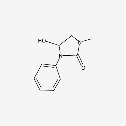 CN1CC(O)N(c2ccccc2)C1=O